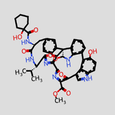 COC(=O)c1nc2oc1-c1c[nH]c3ccc(O)c(c13)-c1cccc3c1NC1Oc4ccc5cc4[C@]31c1oc(nc1-2)[C@H](C(C)C)NC(=O)[C@@H](NC(=O)C1(O)CCCCC1)C5